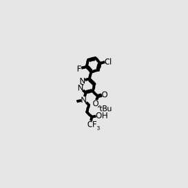 CN(CCC(O)C(F)(F)F)c1nnc(-c2cc(Cl)ccc2F)cc1C(=O)OC(C)(C)C